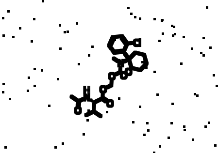 CC(=O)N[C@H](C(=O)OCOC(=O)N(C)C1(c2ccccc2Cl)CCCCC1=O)C(C)C